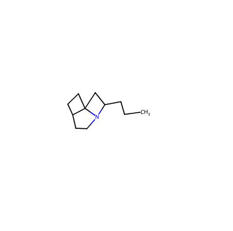 CCCC1CC23CCC2CCN13